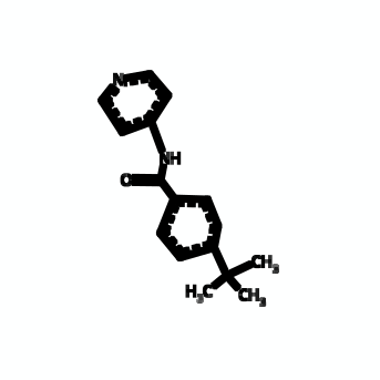 CC(C)(C)c1ccc(C(=O)Nc2ccncc2)cc1